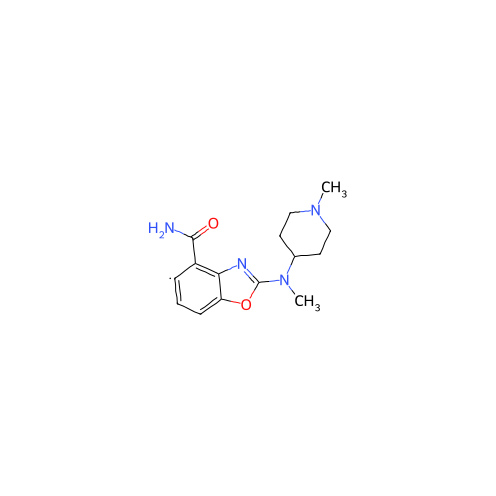 CN1CCC(N(C)c2nc3c(C(N)=O)[c]ccc3o2)CC1